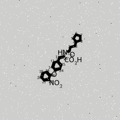 O=C(CCC1CCCC1)N/C(=C/c1ccc(Oc2ccccc2[N+](=O)[O-])cc1)C(=O)O